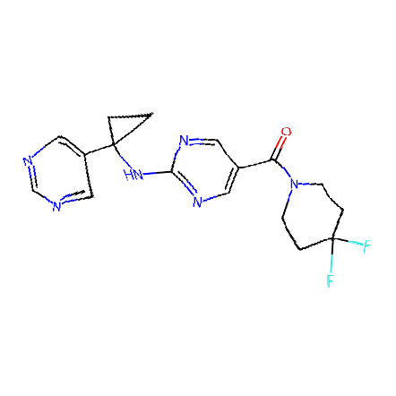 O=C(c1cnc(NC2(c3cncnc3)CC2)nc1)N1CCC(F)(F)CC1